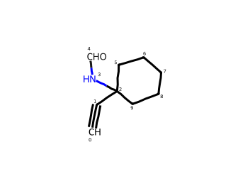 C#CC1(NC=O)CCCCC1